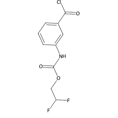 O=C(Nc1cccc(C(=O)Cl)c1)OCC(F)F